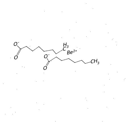 CCCCCCCC(=O)[O-].CCCCCCCC(=O)[O-].[Be+2]